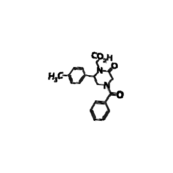 Cc1ccc(C2CN(C(=O)c3ccccc3)CC(=O)N2CC(=O)O)cc1